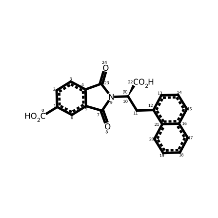 O=C(O)c1ccc2c(c1)C(=O)N([C@H](Cc1cccc3ccccc13)C(=O)O)C2=O